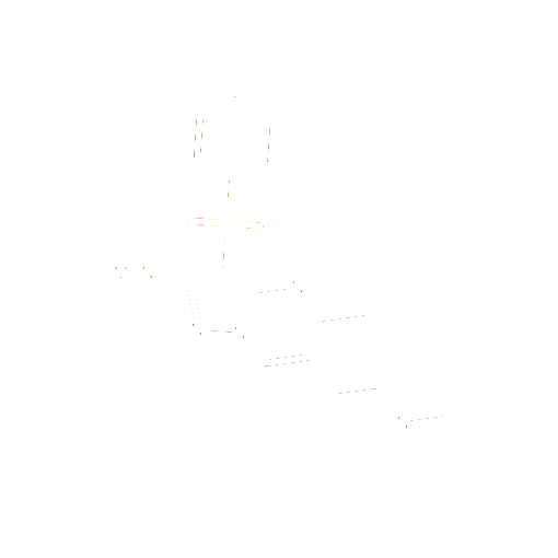 CNc1nn2c(C)c(CCN(C)C)c(C)nc2c1S(=O)(=O)c1ccccc1